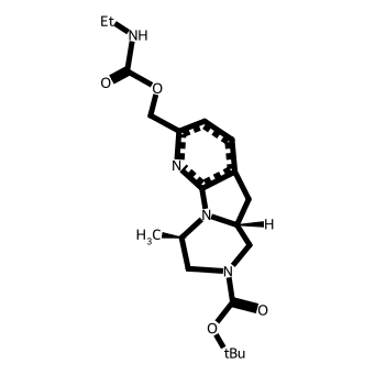 CCNC(=O)OCc1ccc2c(n1)N1[C@H](C2)CN(C(=O)OC(C)(C)C)C[C@H]1C